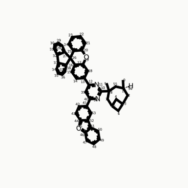 C[C@H]1CC2CC(C2)CC(C)(c2nc(-c3ccc4c(c3)Oc3ccccc3C43c4ccccc4-c4ccccc43)cc(-c3ccc4oc5ccccc5c4c3)n2)C1